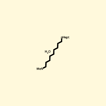 CCCCCCCCCCCCCCCCNC.O